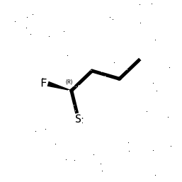 CCC[C@H](F)[S]